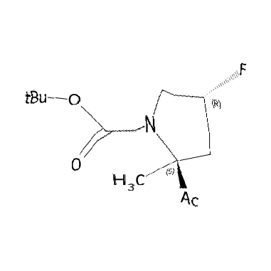 CC(=O)[C@]1(C)C[C@@H](F)CN1C(=O)OC(C)(C)C